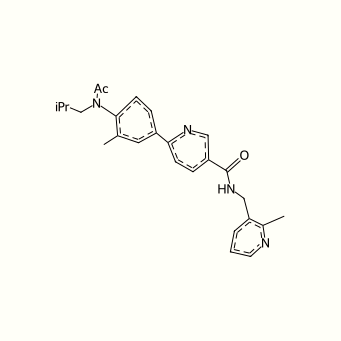 CC(=O)N(CC(C)C)c1ccc(-c2ccc(C(=O)NCc3cccnc3C)cn2)cc1C